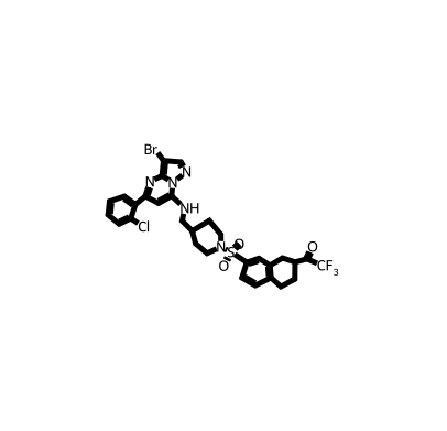 O=C(C1CCc2ccc(S(=O)(=O)N3CCC(CNc4cc(-c5ccccc5Cl)nc5c(Br)cnn45)CC3)cc2C1)C(F)(F)F